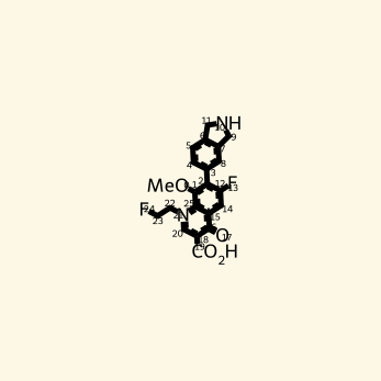 COc1c(-c2ccc3c(c2)CNC3)c(F)cc2c(=O)c(C(=O)O)cn(CCF)c12